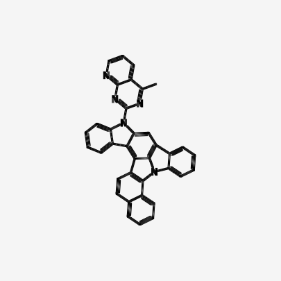 Cc1nc(-n2c3ccccc3c3c4c5ccc6ccccc6c5n5c6ccccc6c(cc32)c45)nc2ncccc12